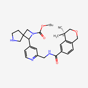 CC(C)(C)OC(=O)N1CC2(CCNC2)C1c1ccnc(CNC(=O)c2ccc3c(c2)[C@](C)(C#N)COC3)c1